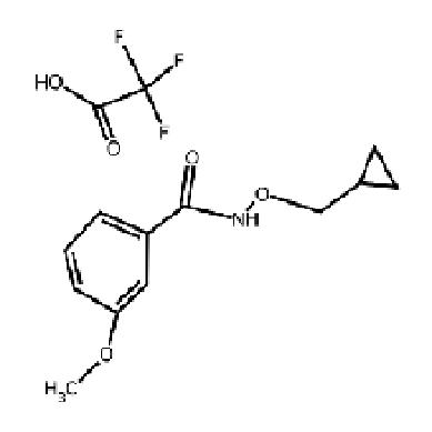 COc1cccc(C(=O)NOCC2CC2)c1.O=C(O)C(F)(F)F